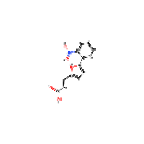 O=C(O)/C=C/c1ccc(-c2ccccc2[N+](=O)[O-])o1